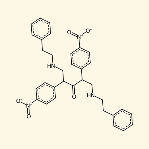 O=C(C(CNCCc1ccccc1)c1ccc([N+](=O)[O-])cc1)C(CNCCc1ccccc1)c1ccc([N+](=O)[O-])cc1